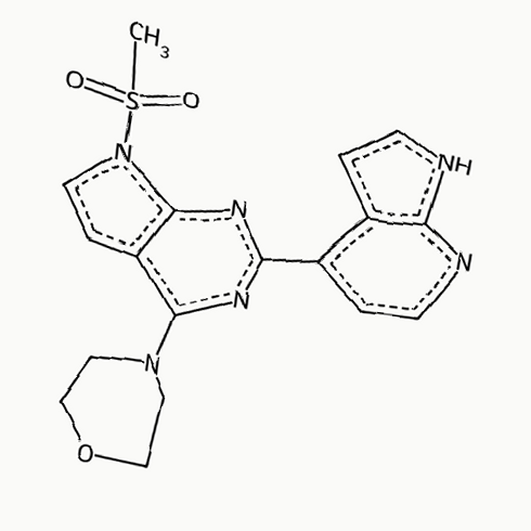 CS(=O)(=O)n1ccc2c(N3CCOCC3)nc(-c3ccnc4[nH]ccc34)nc21